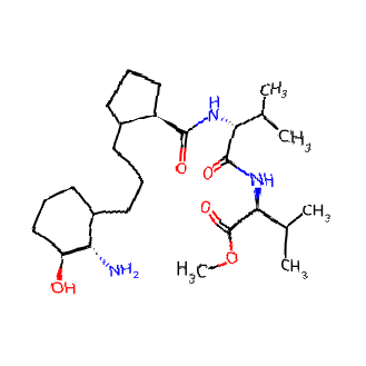 COC(=O)[C@@H](NC(=O)[C@H](NC(=O)[C@@H]1CCCC1CCCC1CCC[C@H](O)[C@H]1N)C(C)C)C(C)C